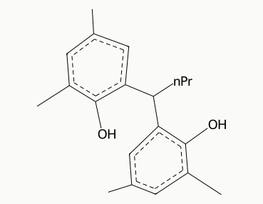 CCCC(c1cc(C)cc(C)c1O)c1cc(C)cc(C)c1O